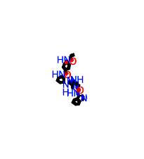 C=CC(=O)Nc1ccc(C(=O)N[C@H]2CCC[C@@H](Nc3n[nH]c4c3CN(C(=O)N[C@H](CN(C)C)c3ccccc3)C4(C)C)C2)cc1